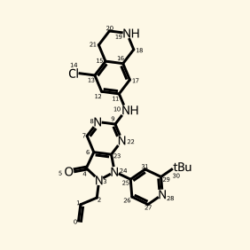 C=CCn1c(=O)c2cnc(Nc3cc(Cl)c4c(c3)CNCC4)nc2n1-c1ccnc(C(C)(C)C)c1